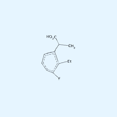 CCc1c(F)cccc1C(C)C(=O)O